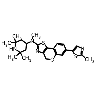 Cc1ncc(-c2ccc3c(c2)OCc2nc(N(C)C4CC(C)(C)NC(C)(C)C4)sc2-3)s1